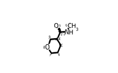 CNC(=O)C1CCCOC1